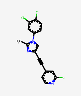 Cc1nc(C#Cc2ccnc(Cl)c2)cn1-c1ccc(Cl)c(Cl)c1